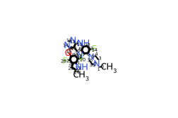 CCN1CCN(c2ccc(Nc3ncnc(Oc4cc(F)c5[nH]c(C)cc5c4F)c3C#N)cc2F)CC1